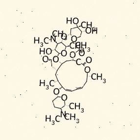 CC(=O)O[C@@H]1CC(=O)O[C@H](C)C/C=C\C=C/[C@@H](O[C@H]2CC[C@H](N(C)C)[C@@H](C)O2)[C@H](C)C[C@H](CC=O)[C@H](O[C@@H]2O[C@H](C)[C@@H](O[C@@H]3C[C@](C)(O)[C@H](O)CO3)[C@H](N(C)C)[C@H]2O)C1